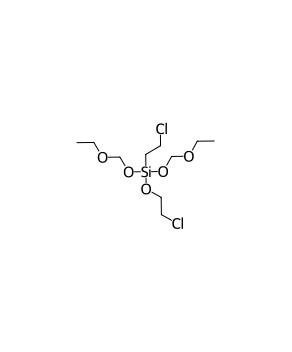 CCOCO[Si](CCCl)(OCCCl)OCOCC